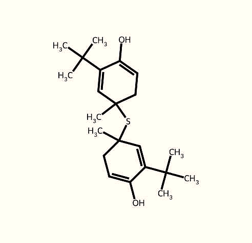 CC1(SC2(C)C=C(C(C)(C)C)C(O)=CC2)C=C(C(C)(C)C)C(O)=CC1